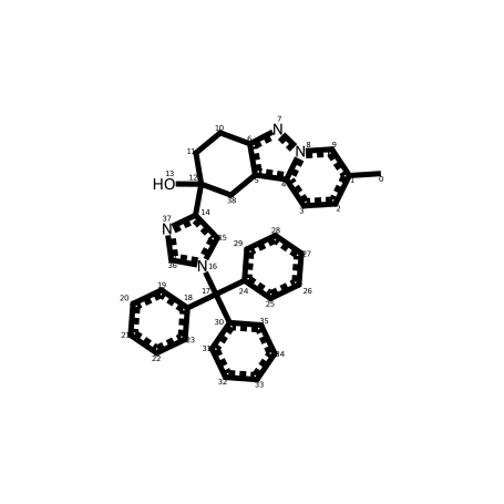 Cc1ccc2c3c(nn2c1)CCC(O)(c1cn(C(c2ccccc2)(c2ccccc2)c2ccccc2)cn1)C3